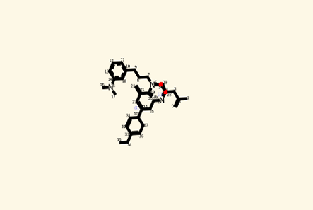 C=C(C)CCCN(CCCc1cccc(N(C)C)c1)C(=C)C(=C)/C=C(\CC/N=C\C)C1C=CC(CC)=CC1